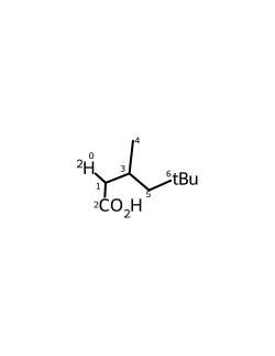 [2H]C(C(=O)O)C(C)CC(C)(C)C